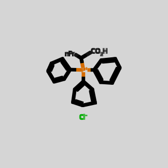 CCCC(C(=O)O)[P+](c1ccccc1)(c1ccccc1)c1ccccc1.[Cl-]